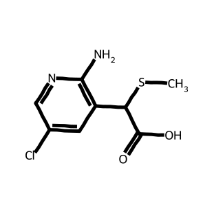 CSC(C(=O)O)c1cc(Cl)cnc1N